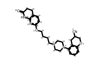 N#CC1COc2cccc(N3CCN(CCCCOc4ccc5c(n4)NC(=O)CC5)CC3)c2C1